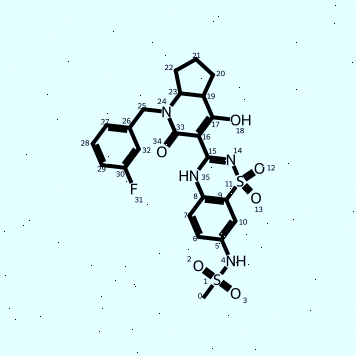 CS(=O)(=O)Nc1ccc2c(c1)S(=O)(=O)N=C(C1=C(O)C3CCCC3N(Cc3cccc(F)c3)C1=O)N2